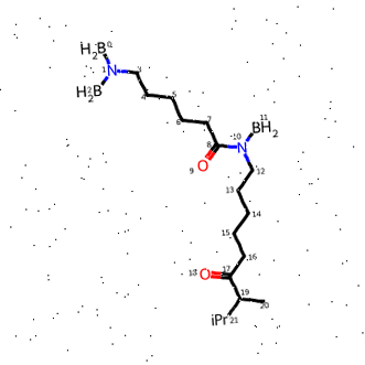 BN(B)CCCCCC(=O)N(B)CCCCCC(=O)C(C)C(C)C